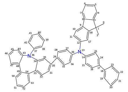 CC1(C)c2ccccc2-c2ccc(N(c3ccc(-c4ccccc4)cc3)c3ccc(-c4ccc5c(c4)N(c4ccccc4)c4ccccc4-c4ccccc4-5)cc3)cc21